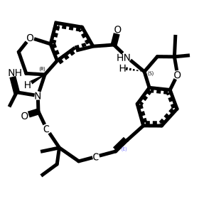 CCC1(C)CC/C=C/c2ccc3c(c2)[C@H](CC(C)(C)O3)NC(=O)c2ccc3c(c2)[C@@H](CCO3)N(C(C)=N)C(=O)C1